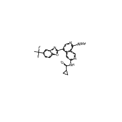 CNc1ncc(-c2nc3cc(C(C)(F)F)ccc3o2)c2cc(NC(=O)C3CC3)ncc12